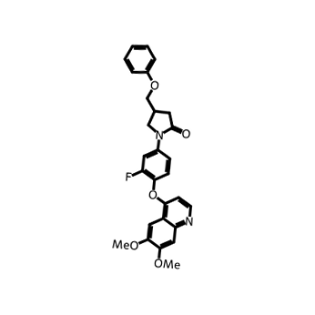 COc1cc2nccc(Oc3ccc(N4CC(COc5ccccc5)CC4=O)cc3F)c2cc1OC